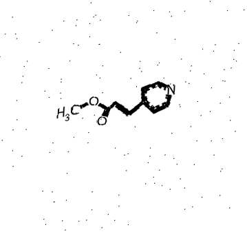 COC(=O)C=Cc1ccncc1